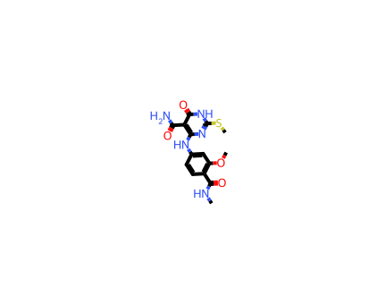 CNC(=O)c1ccc(Nc2nc(SC)[nH]c(=O)c2C(N)=O)cc1OC